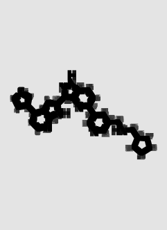 c1cc(-c2ccsc2)c2cc(-c3n[nH]c4ccc(-c5cncc(CNCC6CCCC6)c5)nc34)[nH]c2n1